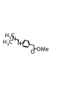 COC(=O)Cc1ccc(N=CN(C)C)cc1